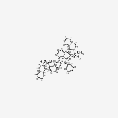 CC1(C)c2ccc3ccccc3c2-c2c1cc(N(c1ccccc1)c1ccc3c4c(ccc3c1)-c1c(ccc3ccccc13)C4(C)C)c1ccccc21